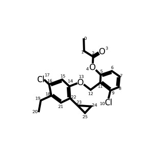 CCC(=O)Oc1cccc(Cl)c1COc1cc(Cl)c(CC)cc1C1CC1